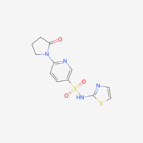 O=C1CCCN1c1ccc(S(=O)(=O)Nc2nccs2)cn1